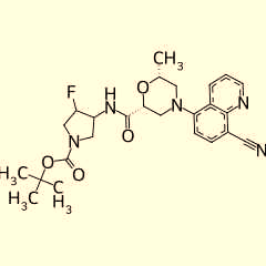 C[C@@H]1CN(c2ccc(C#N)c3ncccc23)C[C@H](C(=O)NC2CN(C(=O)OC(C)(C)C)CC2F)O1